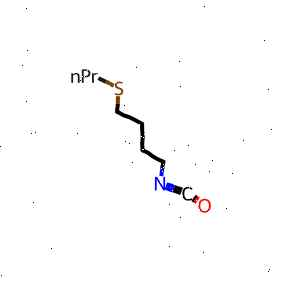 CCCSCCCCN=C=O